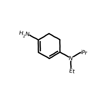 CCN(C1=CC=C(N)CC1)C(C)C